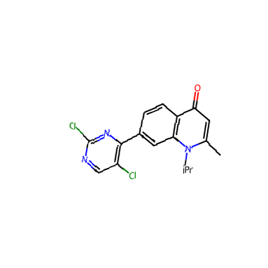 Cc1cc(=O)c2ccc(-c3nc(Cl)ncc3Cl)cc2n1C(C)C